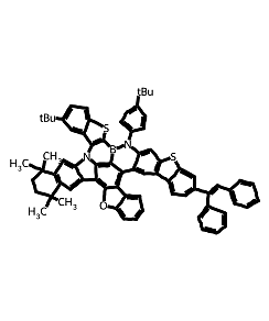 CC(C)(C)c1ccc(N2B3c4sc5ccc(C(C)(C)C)cc5c4-n4c5cc6c(cc5c5c7oc8ccccc8c7c(c3c54)-c3cc4c(cc32)sc2cc(/C(=C/c3ccccc3)c3ccccc3)ccc24)C(C)(C)CCC6(C)C)cc1